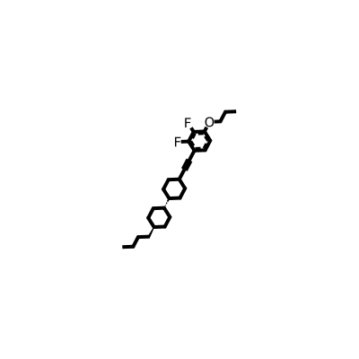 CCCC[C@H]1CC[C@H](C2CCC(C#Cc3ccc(OCCC)c(F)c3F)CC2)CC1